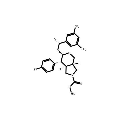 C[C@@H](O[C@H]1OC[C@@H]2CN(C(=O)OC(C)(C)C)C[C@H]2[C@@H]1c1ccc(F)cc1)c1cc(C(F)(F)F)cc(C(F)(F)F)c1